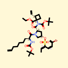 C=CCCCCC[C@H](NC(=O)OC(C)(C)C)C(=O)N1C[C@@H](OS(=O)(=O)C(/C=C\C(=C)Br)=C/C)C[C@H]1C(=O)N(C(=O)OC(C)(C)C)[C@]1(C(=O)OCC)CC[C@H]1C=C